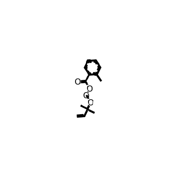 C=CC(C)(C)OOOC(=O)c1ccccc1C